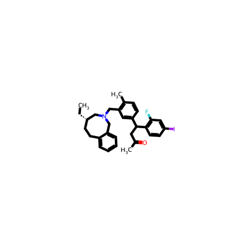 CC[C@H]1CCc2ccccc2CN(Cc2cc(C(CC(C)=O)c3ccc(I)cc3F)ccc2C)C1